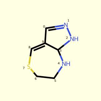 C1=NNC2NCCSC=C12